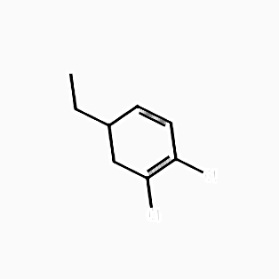 CCC1C=CC(Cl)=C(Cl)C1